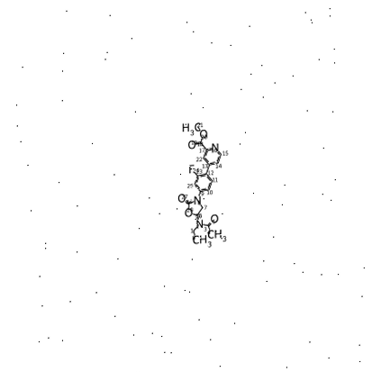 CCN(C(C)=O)[C@@H]1CN(c2ccc(-c3ccnc(C(=O)OC)c3)c(F)c2)C(=O)O1